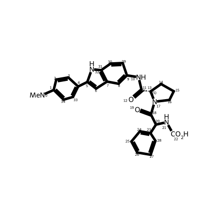 CNc1ccc(-c2cc3cc(NC(=O)[C@@H]4CCCN4C(=O)C(NC(=O)O)c4ccccc4)ccc3[nH]2)cc1